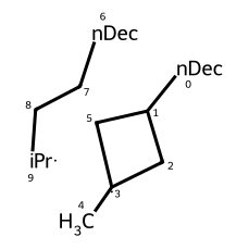 CCCCCCCCCCC1C[C](C)C1.CCCCCCCCCCCC[C](C)C